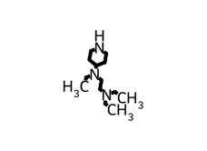 CCN(CC)CCN(CC)C1CCNCC1